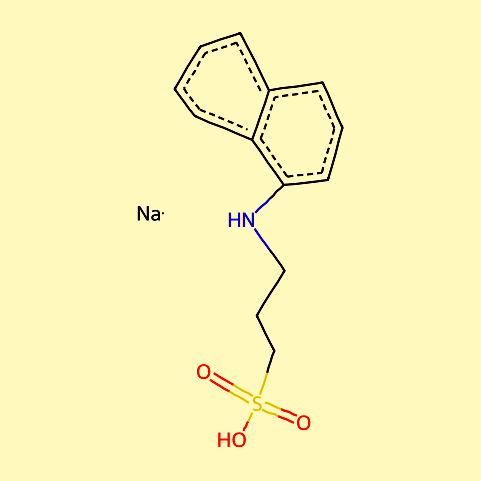 O=S(=O)(O)CCCNc1cccc2ccccc12.[Na]